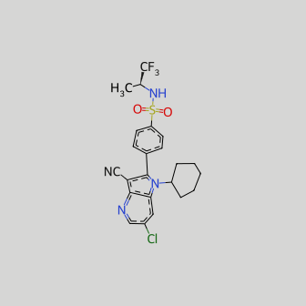 C[C@H](NS(=O)(=O)c1ccc(-c2c(C#N)c3ncc(Cl)cc3n2C2CCCCC2)cc1)C(F)(F)F